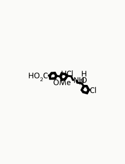 COc1cc(C(=O)O)ccc1-c1ccc(CCNC[C@H](O)c2cccc(Cl)c2)cc1.Cl